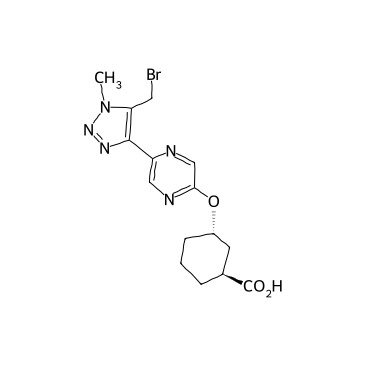 Cn1nnc(-c2cnc(O[C@H]3CCC[C@H](C(=O)O)C3)cn2)c1CBr